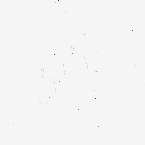 NCc1ccnc(C(=O)N2CCSC2)c1